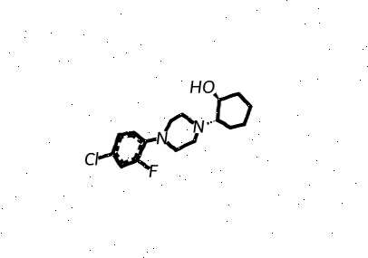 O[C@H]1CCCC[C@@H]1N1CCN(c2ccc(Cl)cc2F)CC1